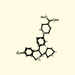 COC(OC)C1CCN(c2ccc(C3c4ccc(O)cc4COC3C3CCCCC3)cc2)CC1